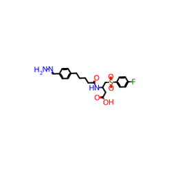 NN=Cc1ccc(CCCCC(=O)NC(CC(=O)O)CS(=O)(=O)c2ccc(F)cc2)cc1